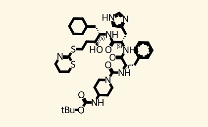 CC(C)(C)OC(=O)NC1CCN(C(=O)N[C@@H](Cc2ccccc2)C(=O)N[C@@H](Cc2c[nH]cn2)C(=O)N[C@@H](CC2CCCCC2)[C@@H](O)CCSC2=NCCCS2)CC1